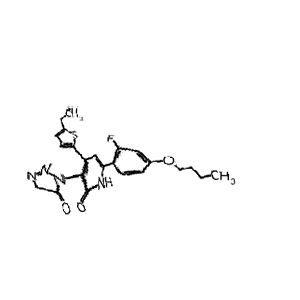 CCCCOc1ccc(-c2cc(-c3ccc(CC)s3)c(N3N=NCC3=O)c(=O)[nH]2)c(F)c1